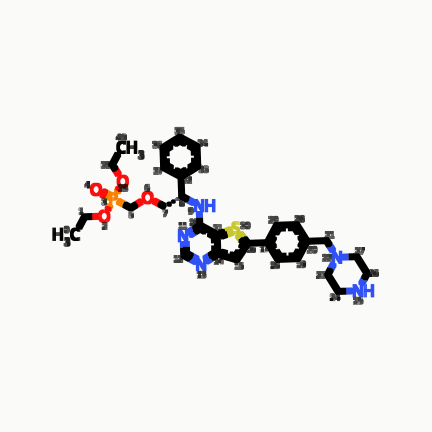 CCOP(=O)(COC[C@@H](Nc1ncnc2cc(-c3ccc(CN4CCNCC4)cc3)sc12)c1ccccc1)OCC